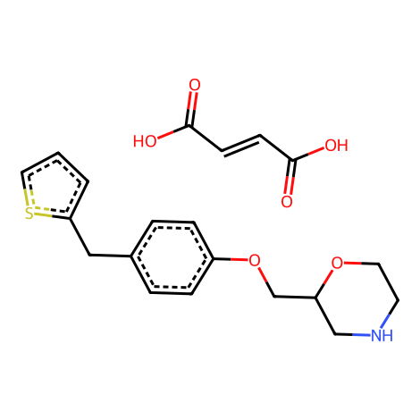 O=C(O)C=CC(=O)O.c1csc(Cc2ccc(OCC3CNCCO3)cc2)c1